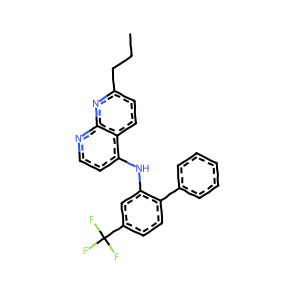 CCCc1ccc2c(Nc3cc(C(F)(F)F)ccc3-c3ccccc3)ccnc2n1